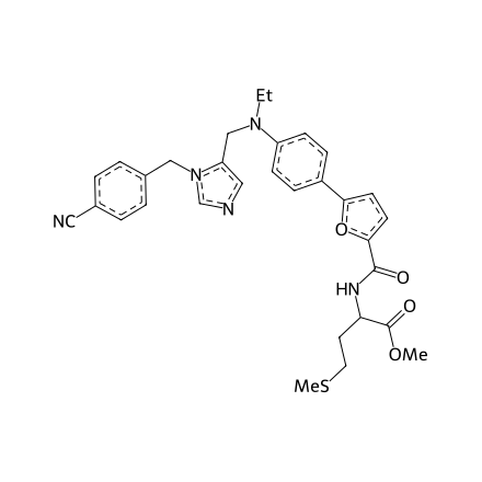 CCN(Cc1cncn1Cc1ccc(C#N)cc1)c1ccc(-c2ccc(C(=O)NC(CCSC)C(=O)OC)o2)cc1